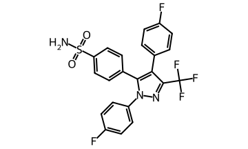 NS(=O)(=O)c1ccc(-c2c(-c3ccc(F)cc3)c(C(F)(F)F)nn2-c2ccc(F)cc2)cc1